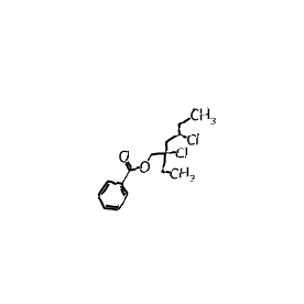 CCC(Cl)CC(Cl)(CC)COC(=O)c1ccccc1